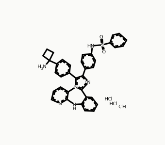 Cl.Cl.Cl.NC1(c2ccc(-c3c(-c4ccc(NS(=O)(=O)c5ccccc5)cc4)nc4n3-c3cccnc3Nc3ccccc3-4)cc2)CCC1